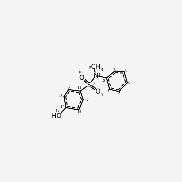 CN(c1ccccc1)S(=O)(=O)c1ccc(O)cc1